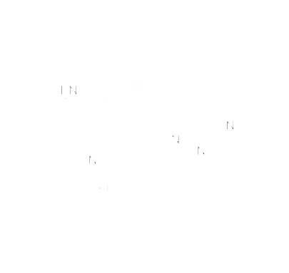 NC(=O)c1nocc1-n1ccnn1